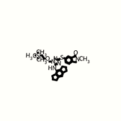 CN1Cc2ccc(Sc3nc(Nc4c5c(cc6c4CCC6)CCC5)n(COCC[Si](C)(C)C)n3)cc2C1=O